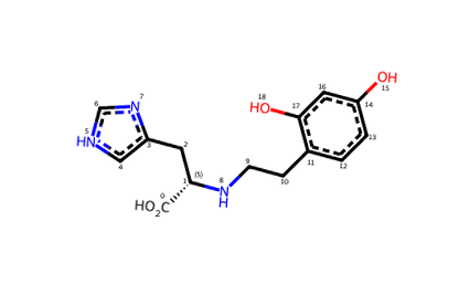 O=C(O)[C@H](Cc1c[nH]cn1)NCCc1ccc(O)cc1O